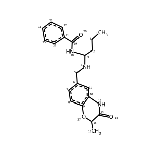 CCCC(NCc1ccc2c(c1)NC(=O)C(C)O2)NC(=O)c1ccccc1